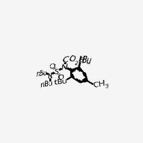 CCCCN(CCCC)S(=O)(=O)N(C(=O)O)c1c(C(C)(C)C)cc(C)cc1C(C)(C)C